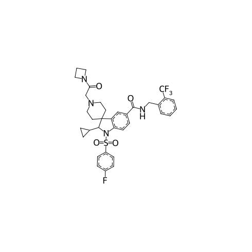 O=C(NCc1ccccc1C(F)(F)F)c1ccc2c(c1)C1(CCN(CC(=O)N3CCC3)CC1)C(C1CC1)N2S(=O)(=O)c1ccc(F)cc1